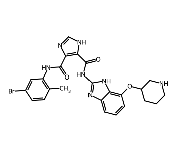 Cc1ccc(Br)cc1NC(=O)c1nc[nH]c1C(=O)Nc1nc2cccc(OC3CCCNC3)c2[nH]1